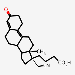 C[C@]12CCC3=C4CCC(=O)C=C4CCC3C1CC[C@]2(CC#N)CCCC(=O)O